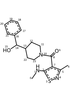 CNc1snc(C)c1C(=O)N1CCC(C(O)c2ccccc2)CC1